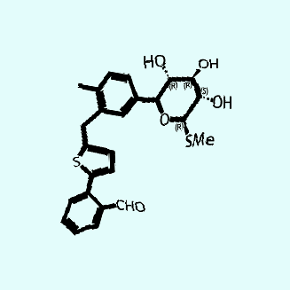 CS[C@H]1OC(c2ccc(C)c(Cc3ccc(-c4ccccc4C=O)s3)c2)[C@H](O)[C@@H](O)[C@@H]1O